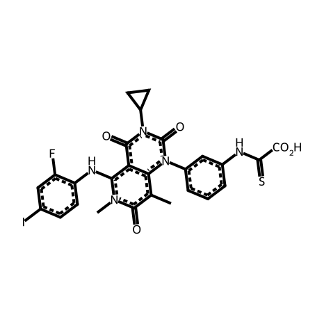 Cc1c(=O)n(C)c(Nc2ccc(I)cc2F)c2c(=O)n(C3CC3)c(=O)n(-c3cccc(NC(=S)C(=O)O)c3)c12